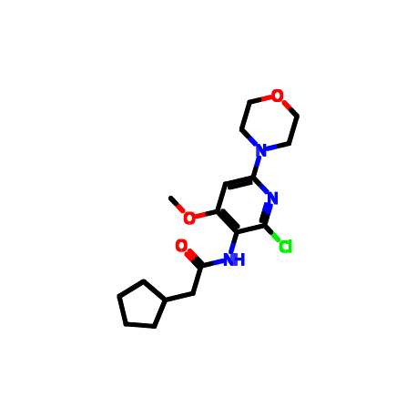 COc1cc(N2CCOCC2)nc(Cl)c1NC(=O)CC1CCCC1